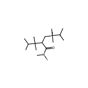 CC(C)C(C)(C)CC(C(=O)N(C)C)C(C)(C)C(C)C